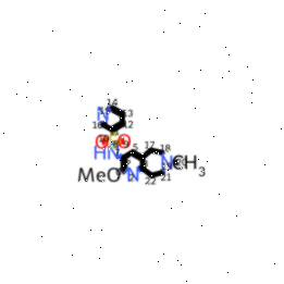 COc1nc2c(cc1NS(=O)(=O)c1cccnc1)CCN(C)CC2